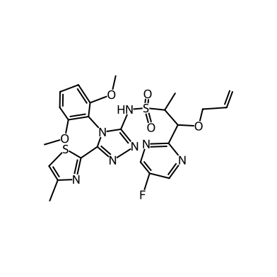 C=CCOC(c1ncc(F)cn1)C(C)S(=O)(=O)Nc1nnc(-c2nc(C)cs2)n1-c1c(OC)cccc1OC